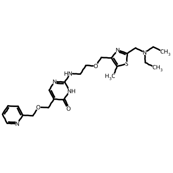 CCN(CC)Cc1nc(COCCNc2ncc(COCc3ccccn3)c(=O)[nH]2)c(C)s1